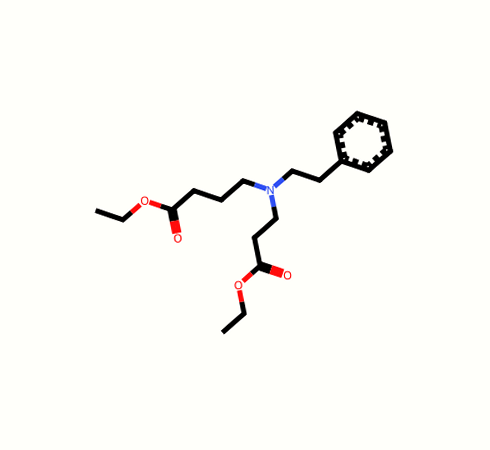 CCOC(=O)CCCN(CCC(=O)OCC)CCc1ccccc1